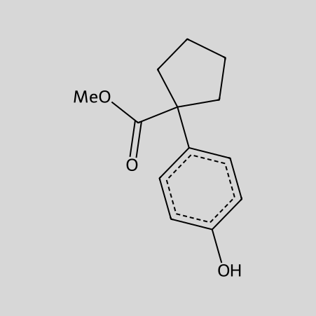 COC(=O)C1(c2ccc(O)cc2)CCCC1